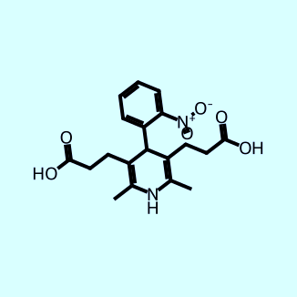 CC1=C(CCC(=O)O)C(c2ccccc2[N+](=O)[O-])C(CCC(=O)O)=C(C)N1